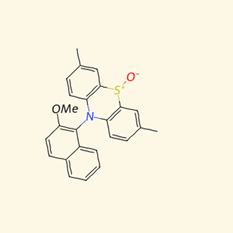 COc1ccc2ccccc2c1N1c2ccc(C)cc2[S+]([O-])c2cc(C)ccc21